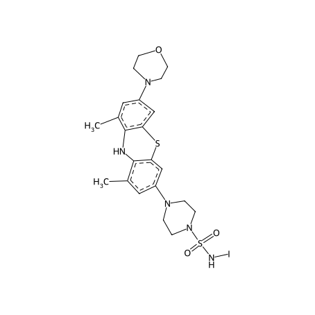 Cc1cc(N2CCOCC2)cc2c1Nc1c(C)cc(N3CCN(S(=O)(=O)NI)CC3)cc1S2